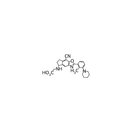 Cc1c(-c2nc3cc4c(c(C#N)c3o2)CCC4NCC(=O)O)cccc1N1CCCCC1